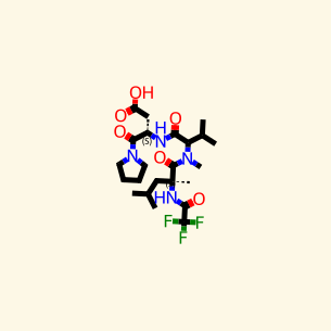 CC(C)C[C@](C)(NC(=O)C(F)(F)F)C(=O)N(C)C(C(=O)N[C@@H](CC(=O)O)C(=O)N1CCCC1)C(C)C